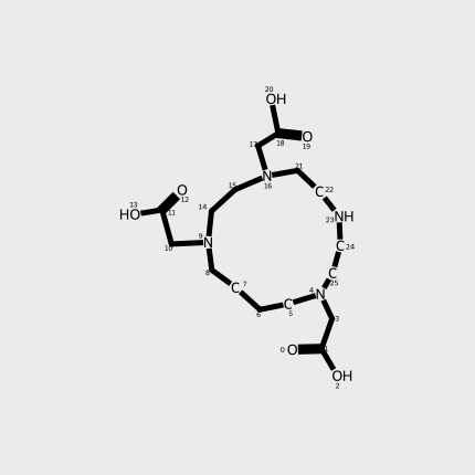 O=C(O)CN1CCCCN(CC(=O)O)CCN(CC(=O)O)CCNCC1